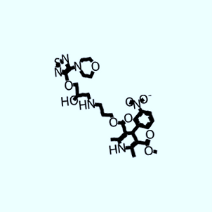 COC(=O)C1=C(C)NC(C)=C(C(=O)OCCCNCC(O)COc2nsnc2N2CCOCC2)C1c1cccc([N+](=O)[O-])c1